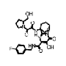 O=C(NC12CCC(CC1)Cn1c2nc(C(=O)NCc2ccc(F)cc2)c(O)c1=O)C(=O)N1CCCC1CO